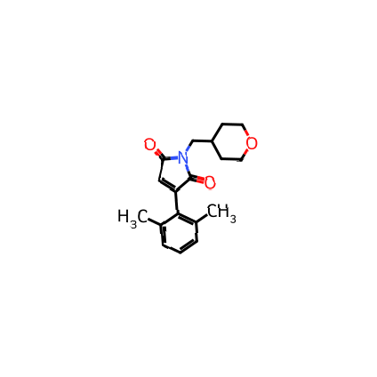 Cc1cccc(C)c1C1=CC(=O)N(CC2CCOCC2)C1=O